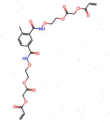 C=CC(=O)OCC(=O)OCCONC(=O)c1ccc(C)c(C(=O)NOCCOC(=O)COC(=O)C=C)c1